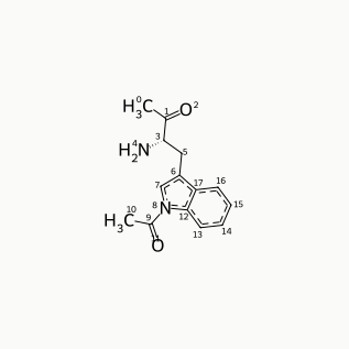 CC(=O)[C@@H](N)Cc1cn(C(C)=O)c2ccccc12